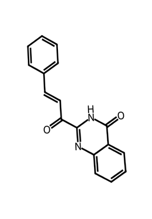 O=C(C=Cc1ccccc1)c1nc2ccccc2c(=O)[nH]1